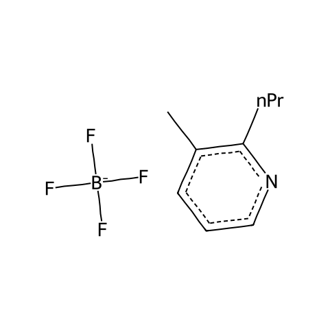 CCCc1ncccc1C.F[B-](F)(F)F